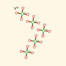 [O-][Cl+3]([O-])([O-])[O-].[O-][Cl+3]([O-])([O-])[O-].[O-][Cl+3]([O-])([O-])[O-].[O-][Cl+3]([O-])([O-])[O-].[O-][Cl+3]([O-])([O-])[O-].[V+5]